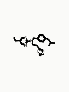 CCc1cnc(N(CCc2cs[c]n2)Cc2ccc(CC(C)C)cc2)nc1